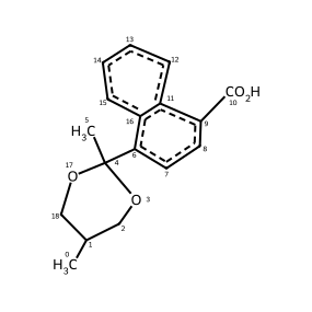 CC1COC(C)(c2ccc(C(=O)O)c3ccccc23)OC1